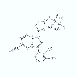 Cc1c(N)cccc1-c1cn(C2CCC(O[Si](C)(C)C(C)(C)C)C2)c2ccc(C#N)cc12